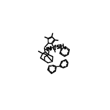 CC1=C(C)C(C)[C]([Hf]([CH3])([NH]C23CC4CC(CC(C)(C4)C2)C3)[SiH2]c2ccccc2)=C1C.c1ccc(-c2ccccc2)cc1